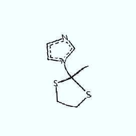 CC1(n2ccnc2)SCCS1